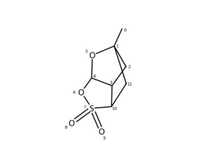 CC12CC3C(O1)OS(=O)(=O)C3C2